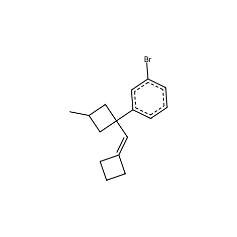 CC1CC(C=C2CCC2)(c2cccc(Br)c2)C1